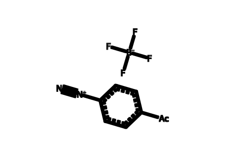 CC(=O)c1ccc([N+]#N)cc1.F[B-](F)(F)F